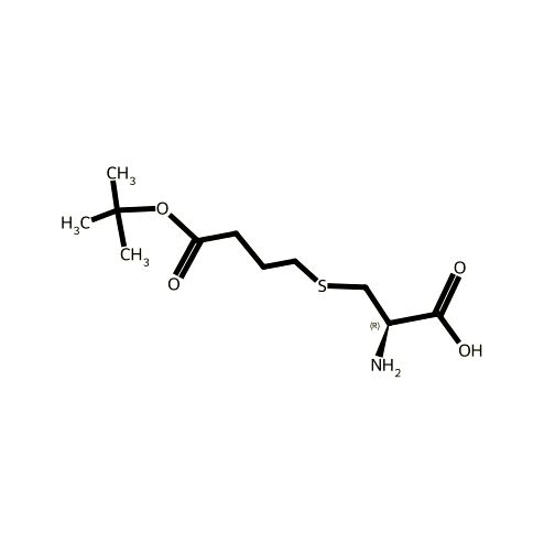 CC(C)(C)OC(=O)CCCSC[C@H](N)C(=O)O